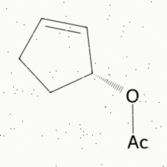 CC(=O)O[C@H]1C=CCC1